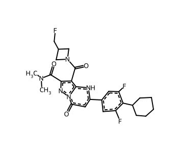 CN(C)C(=O)c1nn2c(=O)cc(-c3cc(F)c(C4CCCCC4)c(F)c3)[nH]c2c1C(=O)N1CC(CF)C1